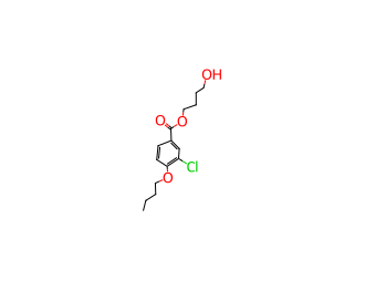 CCCCOc1ccc(C(=O)OCCCCO)cc1Cl